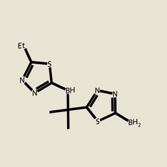 Bc1nnc(C(C)(C)Bc2nnc(CC)s2)s1